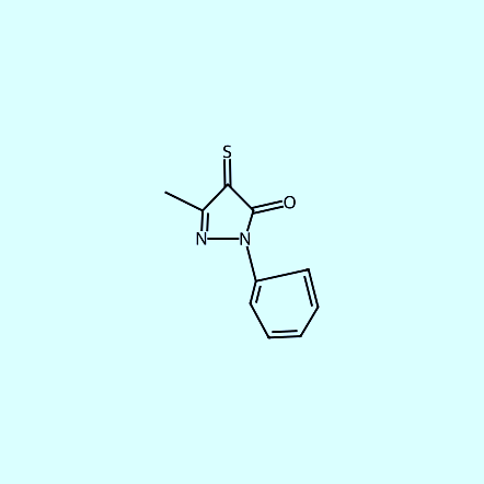 CC1=NN(c2ccccc2)C(=O)C1=S